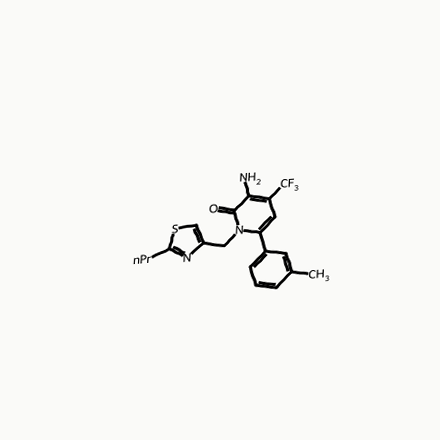 CCCc1nc(Cn2c(-c3cccc(C)c3)cc(C(F)(F)F)c(N)c2=O)cs1